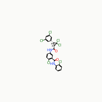 O=C(Nc1ccccc1Cl)c1cc(NC(=O)[C@H]2[C@H](c3cc(Cl)cc(Cl)c3)C2(Cl)Cl)ccc1Cl